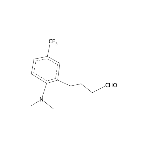 CN(C)c1ccc(C(F)(F)F)cc1CCCC=O